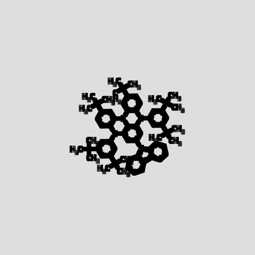 CC(C)(C)c1cc(N2c3ccc(C(C)(C)C)cc3B3c4cc(C(C)(C)C)ccc4N(c4cc(C(C)(C)C)cc(C(C)(C)C)c4)c4cc(-n5c6ccccc6c6ccccc65)cc2c43)cc(C(C)(C)C)c1